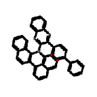 c1ccc(-c2ccc(-c3nc4ccccc4nc3N3c4c(ccc5ccccc45)-c4cccc5cccc3c45)cc2)cc1